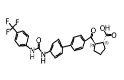 O=C(Nc1ccc(-c2ccc(C(=O)[C@@H]3CCC[C@H]3C(=O)O)cc2)cc1)Nc1ccc(C(F)(F)F)cc1